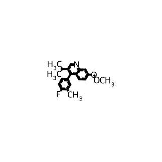 COOc1ccc2c(-c3ccc(F)c(C)c3)c(C(C)C)cnc2c1